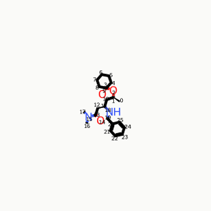 C[C@@H]1OC2(CCCCC2)O[C@H]1[C@H](CC(=O)N(C)C)NCc1ccccc1